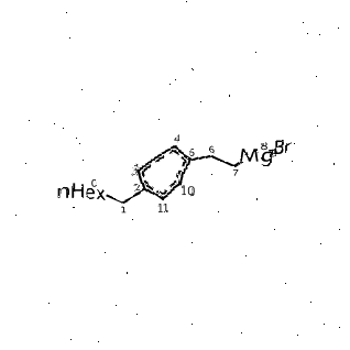 CCCCCCCc1ccc(C[CH2][Mg][Br])cc1